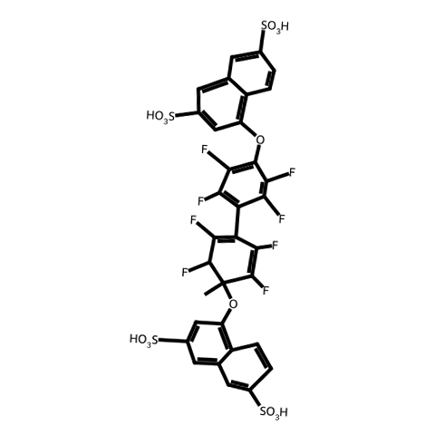 CC1(Oc2cc(S(=O)(=O)O)cc3cc(S(=O)(=O)O)ccc23)C(F)=C(F)C(c2c(F)c(F)c(Oc3cc(S(=O)(=O)O)cc4cc(S(=O)(=O)O)ccc34)c(F)c2F)=C(F)C1F